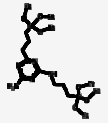 CCO[Si](CCCNc1nc(N)nc(CCC[Si](OCC)(OCC)OCC)n1)(OCC)OCC